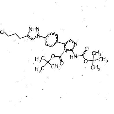 CC(C)(C)OC(=O)Nc1ncc(-c2ccc(-n3cc(CCCCl)nn3)cc2)n1C(=O)OC(C)(C)C